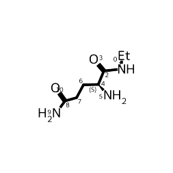 CCNC(=O)[C@@H](N)CCC(N)=O